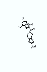 CCc1cc(F)cc2[nH]c(C(=O)N3CCc4nc(NC)sc4C3)cc12